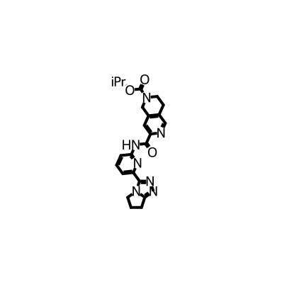 CC(C)OC(=O)N1CCc2cnc(C(=O)Nc3cccc(-c4nnc5n4CCC5)n3)cc2C1